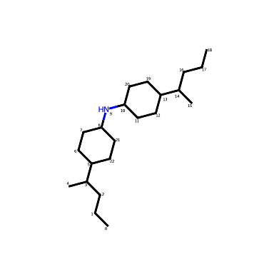 CCCC(C)C1CCC(NC2CCC(C(C)CCC)CC2)CC1